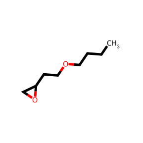 CCCCOCCC1CO1